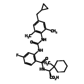 Cc1cc(CC2CC2)cc(C)c1NC(=O)Nc1cc(F)ccc1C(=O)N[C@H](C(=O)O)C1(C)CCCCC1